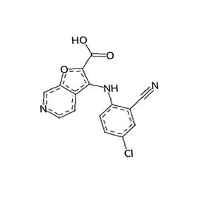 N#Cc1cc(Cl)ccc1Nc1c(C(=O)O)oc2cnccc12